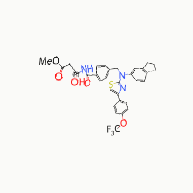 COC(=O)C[C@@H](O)NC(=O)c1ccc(CN(c2ccc3c(c2)CCC3)c2nc(-c3ccc(OC(F)(F)F)cc3)cs2)cc1